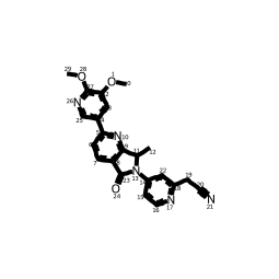 COc1cc(-c2ccc3c(n2)C(C)N(c2ccnc(CC#N)c2)C3=O)cnc1OC